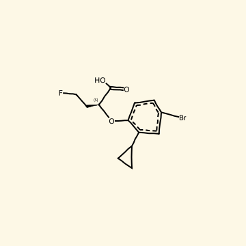 O=C(O)[C@H](CCF)Oc1ccc(Br)cc1C1CC1